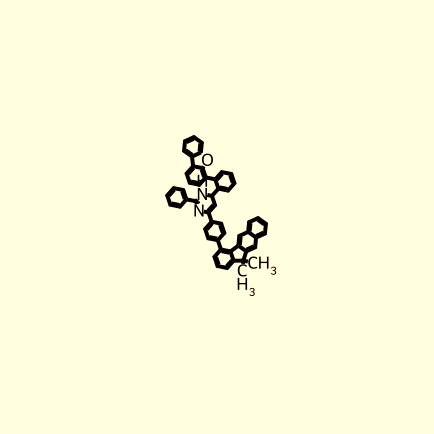 CC1(C)c2cc3ccccc3cc2-c2c(-c3ccc(C4=CC(c5ccccc5-c5cccc6c5oc5ccccc56)NC(c5ccccc5)=N4)cc3)cccc21